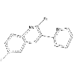 CCc1nc2ccc(F)cc2cc1-c1ccccn1